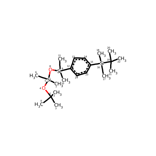 CC(C)(C)O[Si](C)(C)O[Si](C)(C)c1ccc([Si](C)(C)C(C)(C)C)cc1